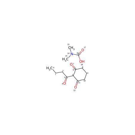 CCCC(=O)C1C(=O)CCCC1=O.CN(C)C(=O)O